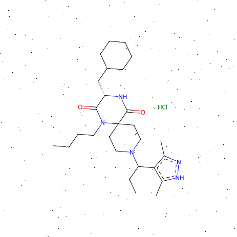 CCCCN1C(=O)[C@H](CC2CCCCC2)NC(=O)C12CCN(C(CC)c1c(C)n[nH]c1C)CC2.Cl